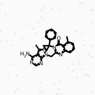 Cc1nn(Cc2nc3cccc(C)c3c(=O)n2C2(c3ccccc3)CC2)c2ncnc(N)c12